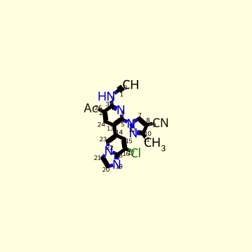 C#CNc1nc(-n2cc(C#N)c(C)n2)c(-c2cc(Cl)c3nccn3c2)cc1C(C)=O